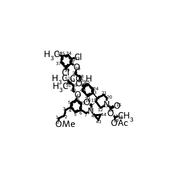 COCCCc1cc(CN(C(=O)[C@H]2CN(C(=O)OC(C)OC(C)=O)CC[C@@H]2c2ccc(OCCOc3c(Cl)cc(C)cc3Cl)cc2)C2CC2)cc(OCCC(C)(C)C(=O)O)c1